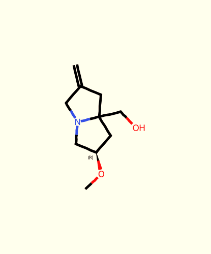 C=C1CN2C[C@H](OC)CC2(CO)C1